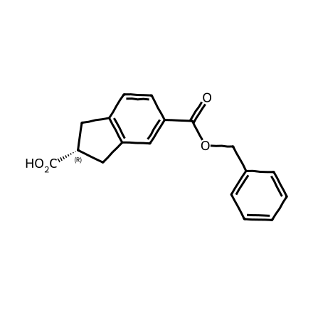 O=C(OCc1ccccc1)c1ccc2c(c1)C[C@H](C(=O)O)C2